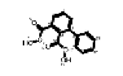 O=C(OO)c1cccc(-c2ccccc2)c1C(=O)OO